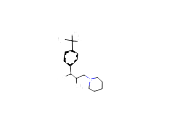 CCC(C)(C)c1ccc(C(C)C(C)CN2CCCCC2)cc1